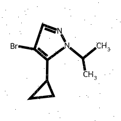 CC(C)n1n[c]c(Br)c1C1CC1